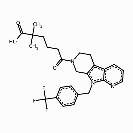 CC(C)(CCCC(=O)N1CCc2c(n(Cc3ccc(C(F)(F)F)cc3)c3ncccc23)C1)C(=O)O